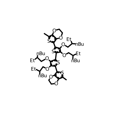 CCCCC(CC)COc1c(-c2sc(C)c3c2OCCO3)sc(-c2sc(-c3sc(C)c4c3OCCO4)c(OCC(CC)CCCC)c2OCC(CC)CCCC)c1OCC(CC)CCCC